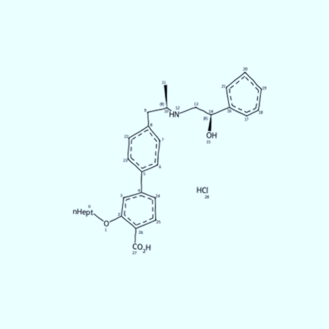 CCCCCCCOc1cc(-c2ccc(C[C@@H](C)NC[C@H](O)c3ccccc3)cc2)ccc1C(=O)O.Cl